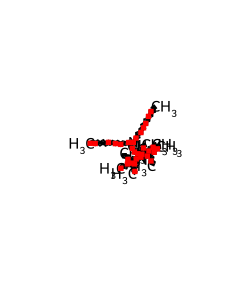 CCCCCCCCCCCCCCCC[CH2][Ni][CH2]CCCCCCCCCCCCCCCC.CCCCCc1c(CCCC)cc(C2=C(CCCC)C(CCCC)=C(c3cc(CCCC)c(CCCCC)c(CCCC)c3)[N+]2=[N-])cc1CCCC